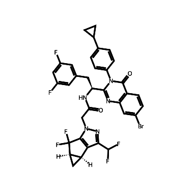 O=C(Cn1nc(C(F)F)c2c1C(F)(F)[C@@H]1C[C@H]21)N[C@@H](Cc1cc(F)cc(F)c1)c1nc2cc(Br)ccc2c(=O)n1-c1ccc(C2CC2)cc1